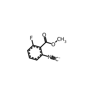 [C-]#[N+]c1cccc(F)c1C(=O)OC